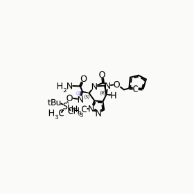 Cn1ncc2c1[C@@H](/C(=N/O[Si](C)(C)C(C)(C)C)C(N)=O)N1C[C@@H]2N(OCc2ccccc2)C1=O